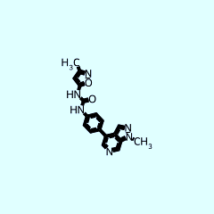 Cc1cc(NC(=O)Nc2ccc(-c3cncc4c3cnn4C)cc2)on1